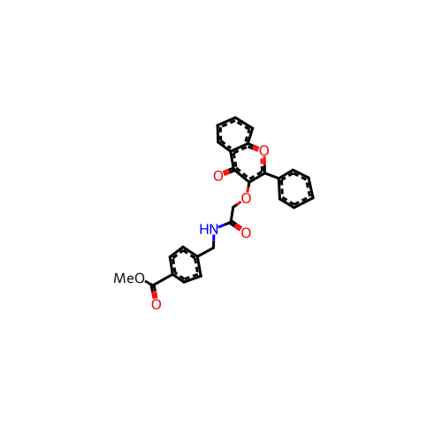 COC(=O)c1ccc(CNC(=O)COc2c(-c3ccccc3)oc3ccccc3c2=O)cc1